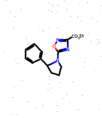 CCOC(=O)c1noc(N2CCCC2c2ccccc2)n1